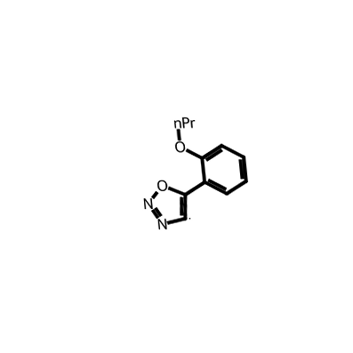 CCCOc1ccccc1-c1[c]nno1